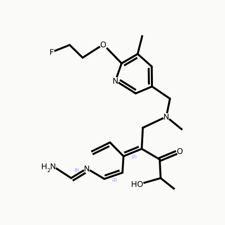 C=CC(/C=C\N=C\N)=C(\CN(C)Cc1cnc(OCCF)c(C)c1)C(=O)C(C)O